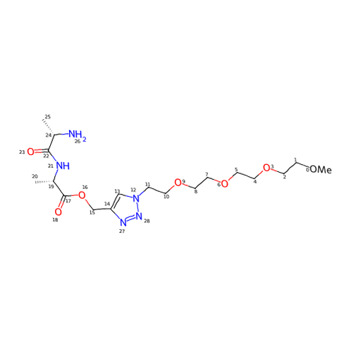 COCCOCCOCCOCCn1cc(COC(=O)[C@H](C)NC(=O)[C@H](C)N)nn1